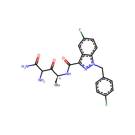 CC(C)(C)[C@H](NC(=O)c1nn(Cc2ccc(F)cc2)c2ccc(F)cc12)C(=O)C(N)C(N)=O